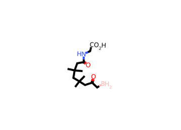 BCC(=O)CC(C)(C)CC(C)(C)CC(=O)NCC(=O)O